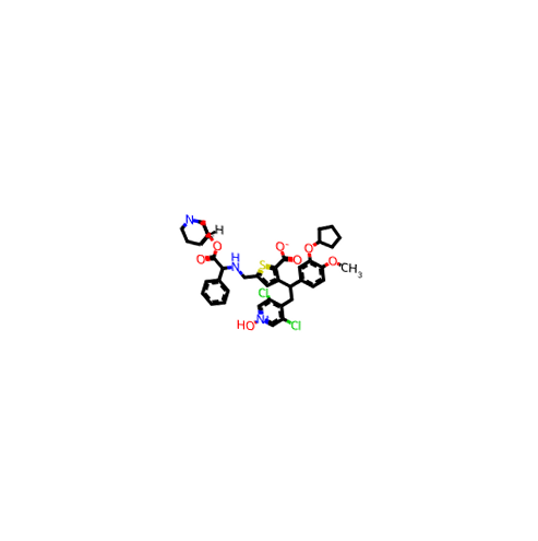 COc1ccc(C(Cc2c(Cl)c[n+](O)cc2Cl)c2cc(CNC(C(=O)O[C@H]3CN4CCC3CC4)c3ccccc3)sc2C(=O)[O-])cc1OC1CCCC1